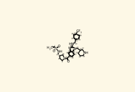 C=CS(=O)(=O)NC[C@H]1CCN(C(=O)c2ccc3c(c2)nc(NCc2ccc(C(F)(F)F)cc2)n3CC2CCCNC2)C1